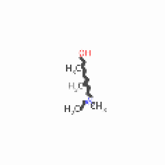 C=CCN(C)CCC/C(C)=C/CC/C(C)=C/CO